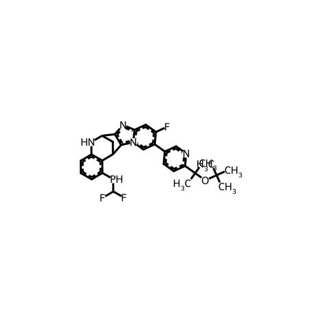 CC(C)(C)OC(C)(C)c1ccc(-c2cn3c4c(nc3cc2F)C2CC4c3c(cccc3PC(F)F)N2)cn1